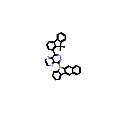 CC1(C)c2ccccc2-c2cccc(-c3nnc(-n4c5ccccc5c5cc6ccccc6cc54)c4nccnc34)c21